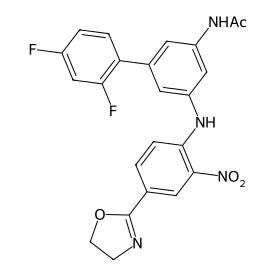 CC(=O)Nc1cc(Nc2ccc(C3=NCCO3)cc2[N+](=O)[O-])cc(-c2ccc(F)cc2F)c1